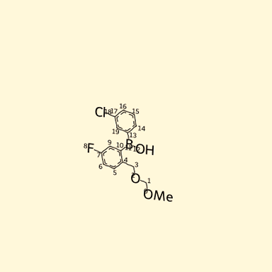 COCOCc1ccc(F)cc1B(O)c1cccc(Cl)c1